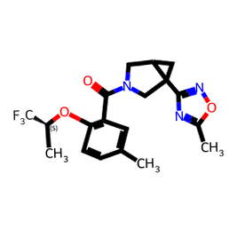 Cc1ccc(O[C@@H](C)C(F)(F)F)c(C(=O)N2CC3CC3(c3noc(C)n3)C2)c1